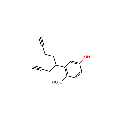 C#CCCC(CC#C)c1cc(O)ccc1C(=O)O